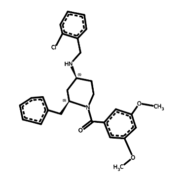 COc1cc(OC)cc(C(=O)N2CC[C@H](NCc3ccccc3Cl)C[C@@H]2Cc2ccccc2)c1